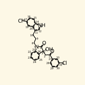 O=C(C[C@]1(O)C(=O)N(CCCc2c[nH]c3ccc(Cl)cc23)c2ccccc21)c1cccc(Cl)c1